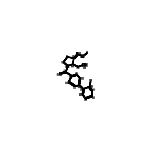 CON=C1CCN(C(=O)c2ccc(-c3ccccc3C)cc2)C1CO